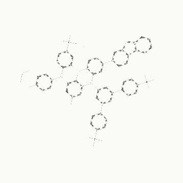 Cc1cc2c3c(c1)N(c1cc(-c4ccc(C(C)(C)C)cc4)cc(-c4ccc(C(C)(C)C)cc4)c1)c1cc(-c4ccc5c(c4)sc4ccccc45)ccc1B3c1cc(C(C)(C)C)ccc1N2c1ccc2c(c1)OCCO2